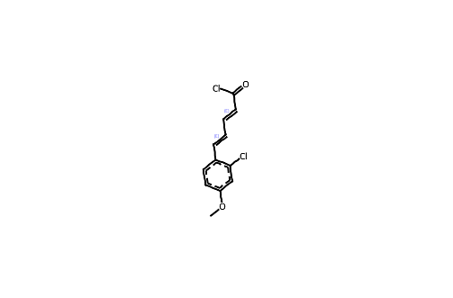 COc1ccc(/C=C/C=C/C(=O)Cl)c(Cl)c1